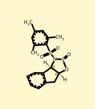 Cc1cc(C)c(S(=O)(=O)N2[C@@H]3c4ccccc4C[C@@H]3OS2=O)c(C)c1